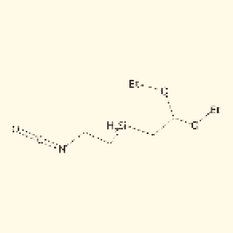 CCOC(C[SiH2]CCN=C=O)OCC